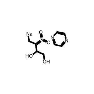 O=S(=O)=C([CH2][Na])C(O)CO.c1cnccn1